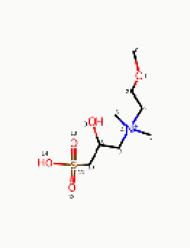 COCC[N+](C)(C)CC(O)CS(=O)(=O)O